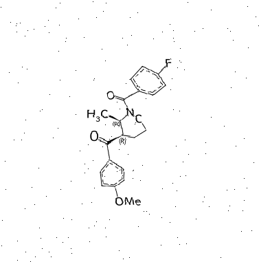 COc1ccc(C(=O)[C@@H]2CCCN(C(=O)c3ccc(F)cc3)[C@@H]2C)cc1